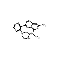 NNc1nc(N)nc2ccc(-c3ccccc3N3CCNCC3)cc12